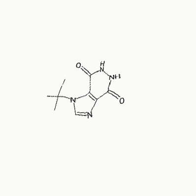 CC(C)(C)n1cnc2c(=O)[nH][nH]c(=O)c21